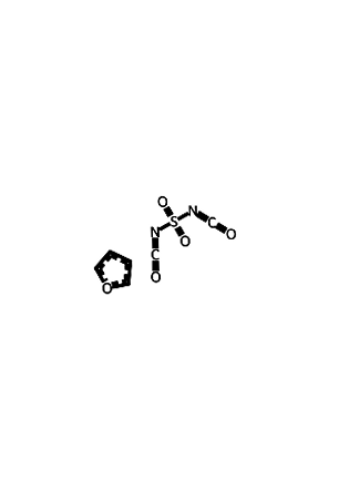 O=C=NS(=O)(=O)N=C=O.c1ccoc1